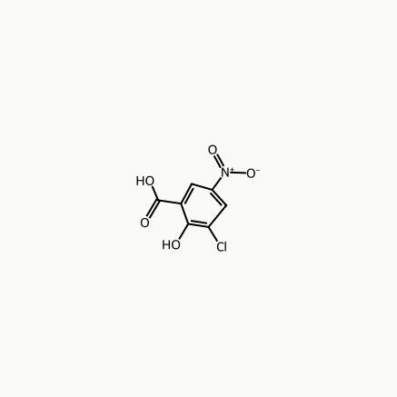 O=C(O)c1cc([N+](=O)[O-])cc(Cl)c1O